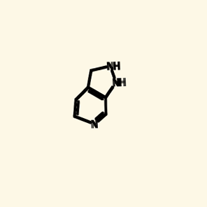 c1cc2c(cn1)NNC2